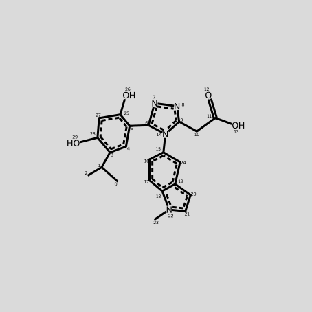 CC(C)c1cc(-c2nnc(CC(=O)O)n2-c2ccc3c(ccn3C)c2)c(O)cc1O